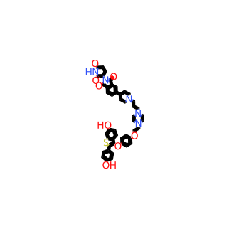 O=C1CCC(N2C(=O)c3ccc(C4CCN(CCCN5CCN(CCOc6ccc(Oc7c(-c8ccc(O)cc8)sc8cc(O)ccc78)cc6)CC5)CC4)cc3C2=O)C(=O)N1